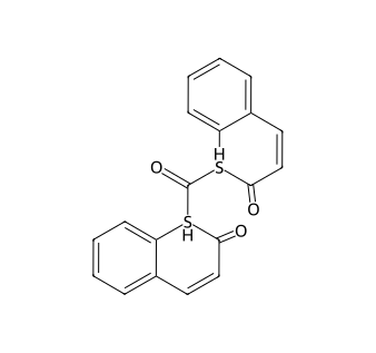 O=C1C=Cc2ccccc2[SH]1C(=O)[SH]1C(=O)C=Cc2ccccc21